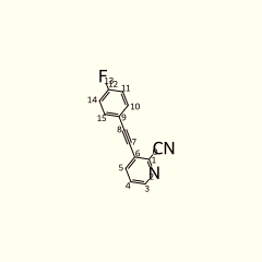 N#Cc1ncccc1C#Cc1ccc(F)cc1